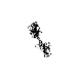 COC(=O)N[C@H](C(=O)N1C[C@@H](SC)C[C@H]1c1nc(Cl)c(-c2ccc(-c3ccc(-c4[nH]c([C@@H]5C[C@H](SC)CN5C(=O)[C@@H](NC(=O)OC)C(C)C)nc4Cl)cc3)cc2)[nH]1)C(C)C